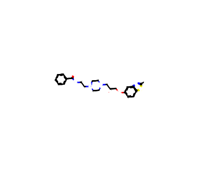 Cc1nc2cc(OC[C@H](O)CN3CCN(CCNC(=O)c4ccccc4)CC3)ccc2s1